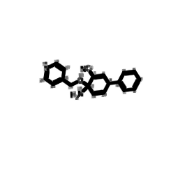 N#CC1=CC(c2ccccc2)C=CC1(N)OCc1ccncc1